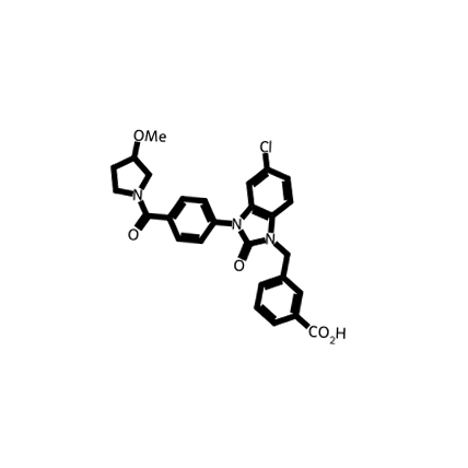 COC1CCN(C(=O)c2ccc(-n3c(=O)n(Cc4cccc(C(=O)O)c4)c4ccc(Cl)cc43)cc2)C1